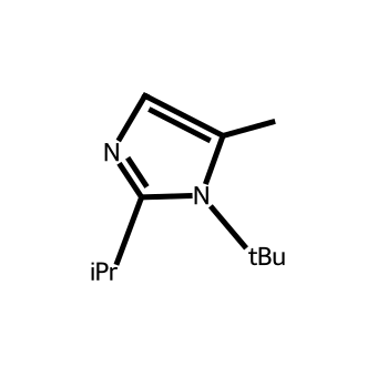 Cc1cnc(C(C)C)n1C(C)(C)C